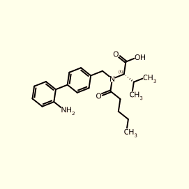 CCCCC(=O)N(Cc1ccc(-c2ccccc2N)cc1)[C@H](C(=O)O)C(C)C